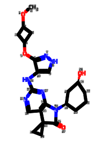 COC1CC(Oc2n[nH]cc2Nc2ncc3c(n2)N([C@@H]2CCC[C@@H](O)C2)C(=O)C32CC2)C1